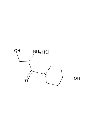 Cl.N[C@@H](CO)C(=O)N1CCC(O)CC1